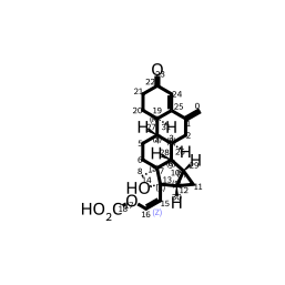 C=C1C[C@@H]2[C@H](CC[C@@]3(C)[C@H]2[C@@H]2C[C@@H]2[C@@]3(O)/C=C\OC(=O)O)[C@H]2CCC(=O)C=C12